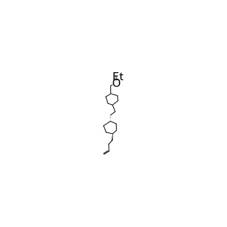 C=CCC[C@H]1CC[C@H](CCC2CCC(COCC)CC2)CC1